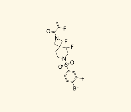 C=C(F)C(=O)N1CC2(CCN(S(=O)(=O)c3ccc(Br)c(F)c3)CC2(F)F)C1